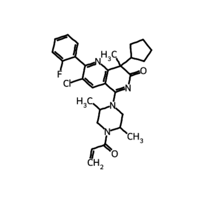 C=CC(=O)N1CC(C)N(C2=NC(=O)C(C)(C3CCCC3)c3nc(-c4ccccc4F)c(Cl)cc32)CC1C